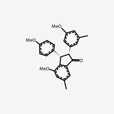 COc1ccc([C@H]2c3c(OC)cc(C)cc3C(=O)[C@H]2c2cc(C)cc(OC)c2)cc1